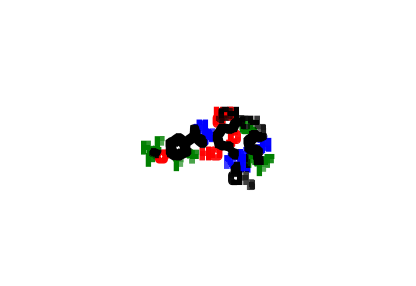 CO[C@H]1C(C(C)O)O[C@@H](c2nc(C)nn2-c2cc(Cl)cnc2C(F)(F)F)C(O)C1n1cc(-c2ccc(OC(F)(F)F)c(F)c2F)cn1